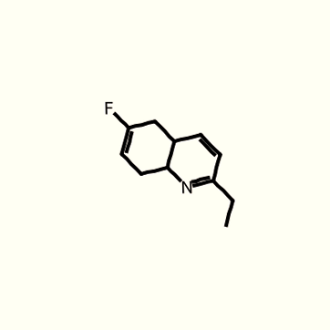 CCC1=NC2CC=C(F)CC2C=C1